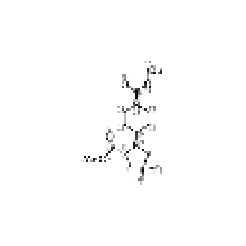 COC(=O)[C@H]1CC(F)(F)CN1C1CCN(C(=O)OC(C)(C)C)CC1